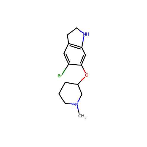 CN1CCCC(Oc2cc3c(cc2Br)CCN3)C1